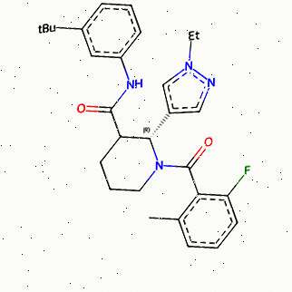 CCn1cc([C@H]2C(C(=O)Nc3cccc(C(C)(C)C)c3)CCCN2C(=O)c2c(C)cccc2F)cn1